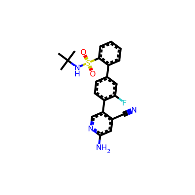 CC(C)(C)NS(=O)(=O)c1ccccc1-c1ccc(-c2cnc(N)cc2C#N)c(F)c1